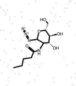 CCCCC(=O)NC1C(N=[N+]=[N-])O[C@H](CO)[C@@H](O)[C@@H]1O